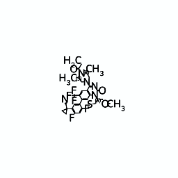 C=CC(=O)N1[C@H](C)CN(c2nc(=O)n3c4c(c(-c5cc(C6(C#N)CC6)c(F)cc5F)c(C(F)(F)F)cc24)SC[C@@H]3COC)C[C@@H]1C